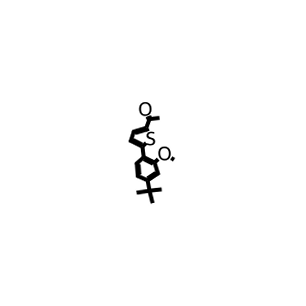 COc1cc(C(C)(C)C)ccc1-c1ccc(C(C)=O)s1